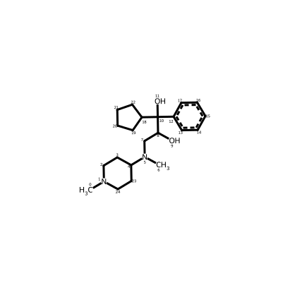 CN1CCC(N(C)CC(O)C(O)(c2ccccc2)C2CCCC2)CC1